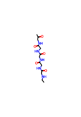 CCNCC(=O)NCC(=O)NCC(=O)NCC(=O)NCC(C)=O